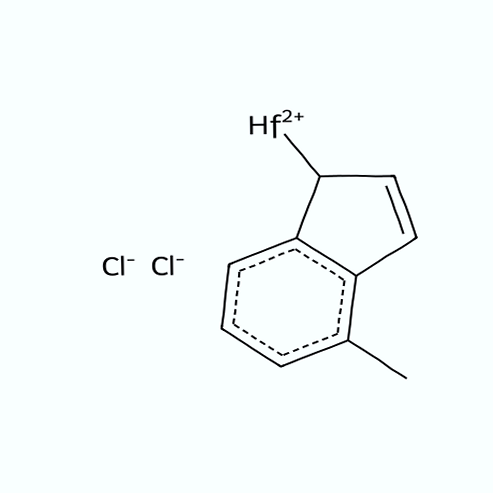 Cc1cccc2c1C=C[CH]2[Hf+2].[Cl-].[Cl-]